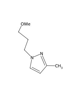 COCCCn1ccc(C)n1